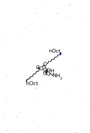 CCCCCCCC/C=C\CCCCCCCCO[C@H](COC(=O)CCCCCCC/C=C\CCCCCCCC)COP(=O)(O)OCCN